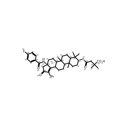 CC(C)C1=C2C3CCC4C5(C)CC[C@H](OC(=O)CC(C)(C)C(=O)O)C(C)(C)C5CCC4(C)[C@]3(C)CC[C@@]2(NC(=O)c2ccc(F)cc2)CC1=O